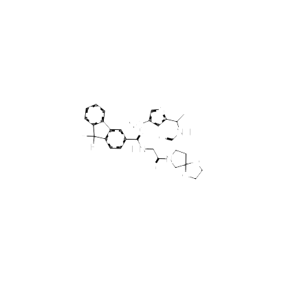 CC(NC(=O)[C@@H]1CC2(CN1C(=O)CNC(=O)c1ccc3c(c1)-c1ccccc1C3(F)F)OCCO2)c1cc(C#N)cs1